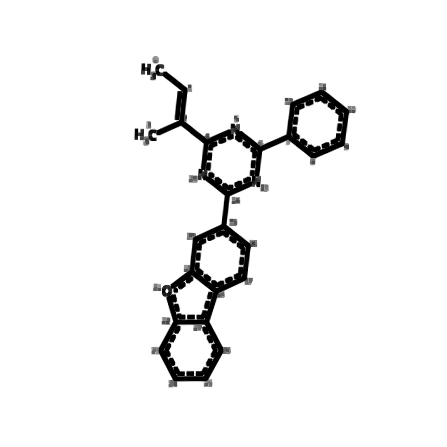 C/C=C(\C)c1nc(-c2ccccc2)nc(-c2ccc3c(c2)oc2ccccc23)n1